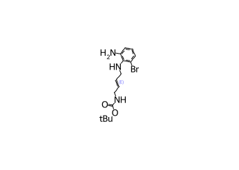 CC(C)(C)OC(=O)NC/C=C/CNc1c(N)cccc1Br